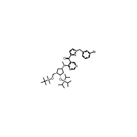 CC(C)[Si](O[C@H]1C[C@H](N(C)c2ncncc2C(=O)c2ccn(Cc3cccc(Br)c3)n2)C[C@@H]1CO[Si](C)(C)C(C)(C)C)(C(C)C)C(C)C